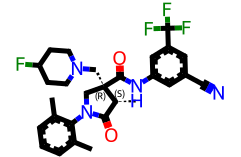 Cc1cccc(C)c1N1C[C@@](CN2CCC(F)CC2)(C(=O)Nc2cc(C#N)cc(C(F)(F)F)c2)[C@H](C)C1=O